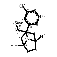 CSCCN1[C@@H]2CC[C@H]1C[C@](C#N)(c1cncc(Cl)c1)C2